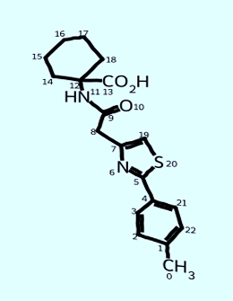 Cc1ccc(-c2nc(CC(=O)NC3(C(=O)O)CCCCC3)cs2)cc1